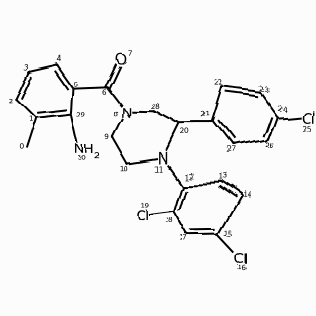 Cc1cccc(C(=O)N2CCN(c3ccc(Cl)cc3Cl)C(c3ccc(Cl)cc3)C2)c1N